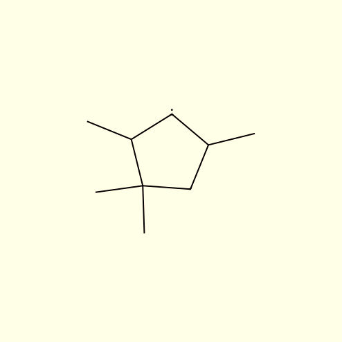 CC1[CH]C(C)C(C)(C)C1